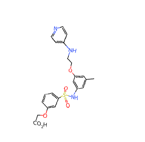 Cc1cc(NS(=O)(=O)c2cccc(OCC(=O)O)c2)cc(OCCNc2ccncc2)c1